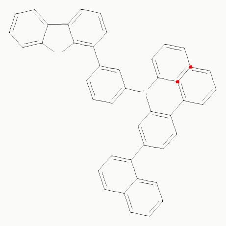 c1ccc(-c2ccc(-c3cccc4ccccc34)cc2N(c2ccccc2)c2cccc(-c3cccc4c3oc3ccccc34)c2)cc1